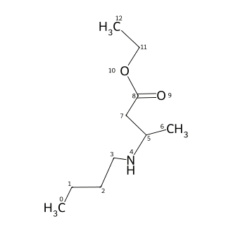 CCCCNC(C)CC(=O)OCC